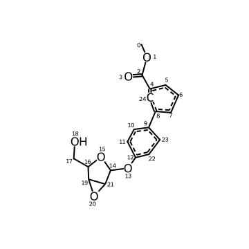 COC(=O)c1cccc(-c2ccc(OC3OC(CO)C4OC34)cc2)c1